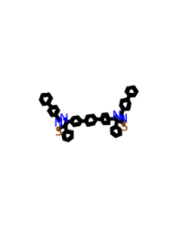 c1ccc(-c2ccc(-c3nc(-c4ccc(-c5ccc(-c6ccc(-c7nc(-c8ccc(-c9ccccc9)cc8)nc8sc9ccccc9c78)cc6)cc5)cc4)c4c(n3)sc3ccccc34)cc2)cc1